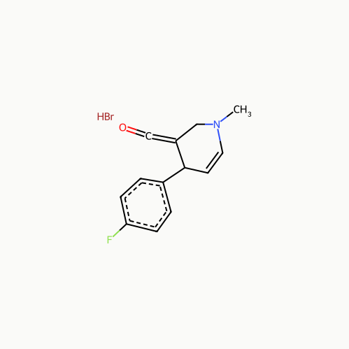 Br.CN1C=CC(c2ccc(F)cc2)C(=C=O)C1